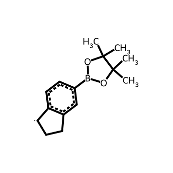 CC1(C)OB(c2ccc3c(c2)CC[CH]3)OC1(C)C